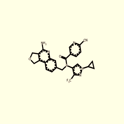 N#Cc1ccc(C(=O)N(Cc2ccc3c4c(c(N)nc3c2)COC4)c2cn(C3CC3)nc2C(F)(F)F)cn1